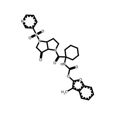 Cc1c(OC(=O)NC2(C(=O)N3CCC4C3C(=O)CN4S(=O)(=O)c3cccnc3)CCCCC2)oc2ccccc12